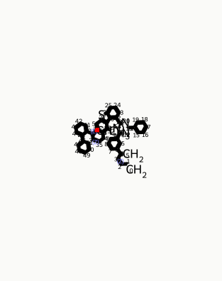 C=C/C=C\C(=C)c1cccc(-c2nc(-c3ccccc3)nc(-c3cccc4sc5c(c34)C(C)C(C/C=C\C(=C/C)c3ccccc3-c3ccccc3)C=C5)n2)c1